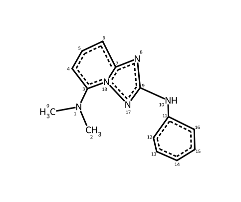 CN(C)c1cccc2nc(Nc3ccccc3)nn12